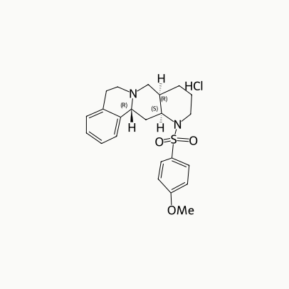 COc1ccc(S(=O)(=O)N2CCC[C@@H]3CN4CCc5ccccc5[C@H]4C[C@@H]32)cc1.Cl